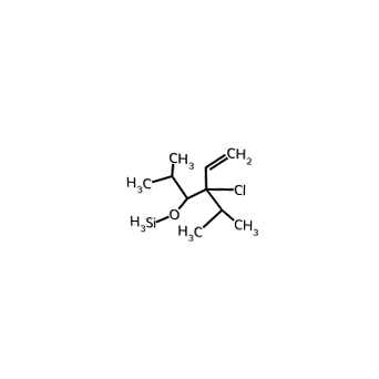 C=CC(Cl)(C(C)C)C(O[SiH3])C(C)C